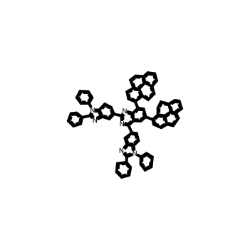 c1ccc(-c2nc3cc(-c4nc(-c5ccc6c(c5)nc(-c5ccccc5)n6-c5ccccc5)c5cc(-c6ccc7ccc8cccc9ccc6c7c89)cc(-c6ccc7ccc8cccc9ccc6c7c89)c5n4)ccc3n2-c2ccccc2)cc1